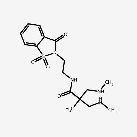 CNCC(C)(CNC)C(=O)NCCN1C(=O)c2ccccc2S1(=O)=O